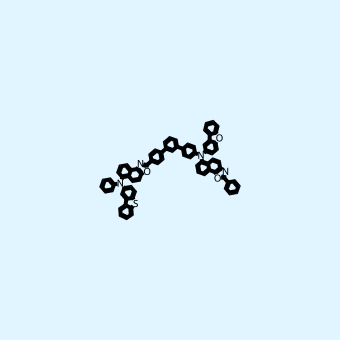 c1ccc(-c2nc3ccc4c(N(c5ccc(-c6cccc(-c7ccc(-c8nc9c(ccc%10c(N(c%11ccccc%11)c%11ccc%12sc%13ccccc%13c%12c%11)cccc%109)o8)cc7)c6)cc5)c5ccc6oc7ccccc7c6c5)cccc4c3o2)cc1